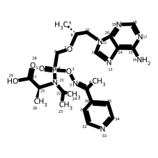 C/C(=N\OP(=O)(CO[C@H](C)Cn1cnc2c(N)ncnc21)N(C(C)C)[C@@H](C)C(=O)O)c1ccncc1